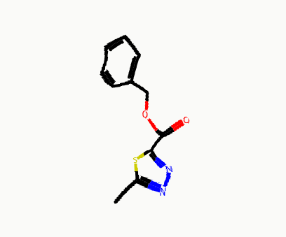 Cc1nnc(C(=O)OCc2ccccc2)s1